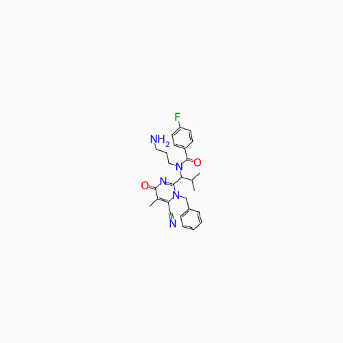 Cc1c(C#N)n(Cc2ccccc2)c(C(C(C)C)N(CCCN)C(=O)c2ccc(F)cc2)nc1=O